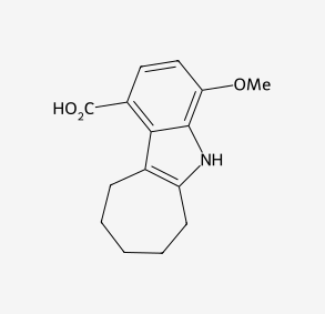 COc1ccc(C(=O)O)c2c3c([nH]c12)CCCCC3